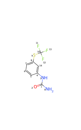 NC(=O)Nc1cccc(SC(F)(F)F)c1